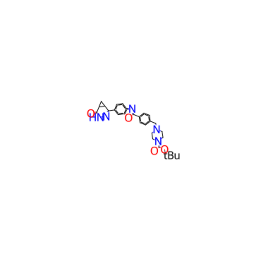 CC(C)(C)OC(=O)N1CCN(Cc2ccc(-c3nc4ccc(C5=NNC(=O)C6CC56)cc4o3)cc2)CC1